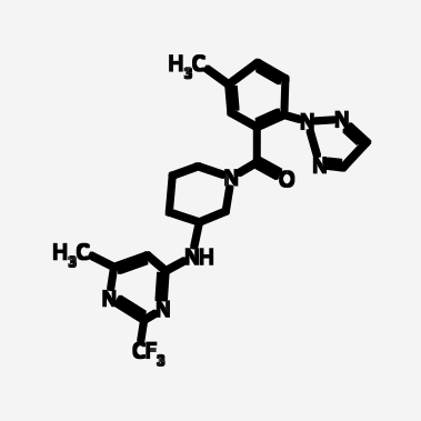 Cc1ccc(-n2nccn2)c(C(=O)N2CCCC(Nc3cc(C)nc(C(F)(F)F)n3)C2)c1